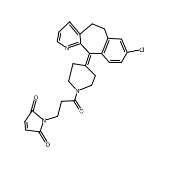 O=C(CCN1C(=O)C=CC1=O)N1CCC(=C2c3ccc(Cl)cc3CCc3cccnc32)CC1